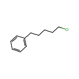 ClCCCCCc1cc[c]cc1